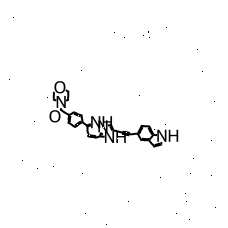 N=C(/C=C\c1ncc(C#Cc2ccc3[nH]ccc3c2)[nH]1)c1ccc(C(=O)N2CCOCC2)cc1